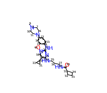 COc1cc(N2CCN(C)CC2)ccc1Nc1ncc(C2CC2)c(NCCCNC(=O)C2CCC2)n1